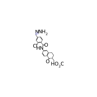 N/N=C\c1ccc(C(=O)Nc2ccc3c(c2)CCC(CC(=O)O)C3=O)c(Cl)c1